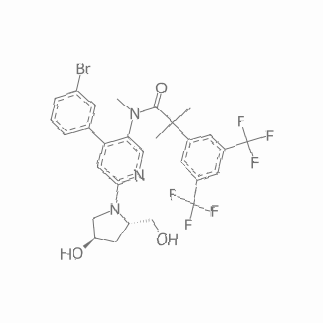 CN(C(=O)C(C)(C)c1cc(C(F)(F)F)cc(C(F)(F)F)c1)c1cnc(N2C[C@H](O)C[C@H]2CO)cc1-c1cccc(Br)c1